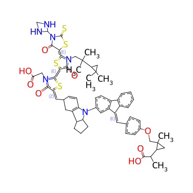 CC(C(=O)O)C1CC1(C)COc1ccc(/C=C2\c3ccccc3-c3ccc(N4C5=C(CC(/C=c6\s/c(=c7/s/c(=C8/SC(=S)N(C9NCN9)C8=O)n(CC(C)(C)C8CC8(C)C)c7=O)n(CC(=O)O)c6=O)C=C5)C5CCCC54)cc32)cc1